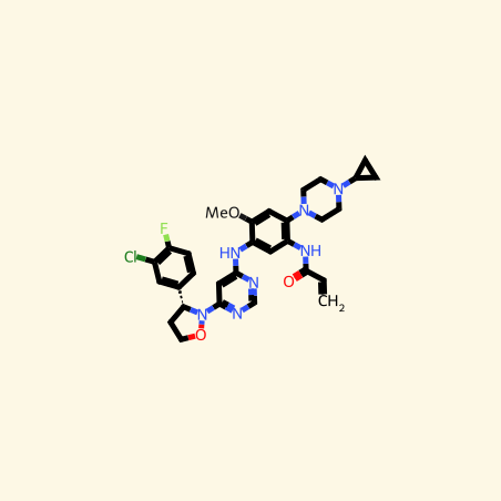 C=CC(=O)Nc1cc(Nc2cc(N3OCC[C@@H]3c3ccc(F)c(Cl)c3)ncn2)c(OC)cc1N1CCN(C2CC2)CC1